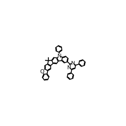 CC1(C)c2cc3oc4ccccc4c3cc2-c2cc3c4cc(-c5nc(-c6ccccc6)cc(-c6ccccc6)n5)ccc4n(-c4ccccc4)c3cc21